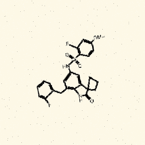 COc1ccc(S(=O)(=O)Nc2cc(Cc3ccccc3F)c3c(c2)C2(CCC2)C(=O)N3)c(F)c1